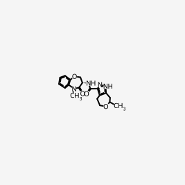 CC1Cc2[nH]nc(C(=O)N[C@H]3COc4ccccc4N(C)C3=O)c2CCO1